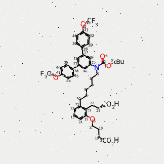 CC(C)(C)OC(=O)N(CCCCCCc1cccc(OCCCC(=O)O)c1CCC(=O)O)c1cc(-c2ccc(OC(F)(F)F)cc2)cc(-c2ccc(OC(F)(F)F)cc2)c1